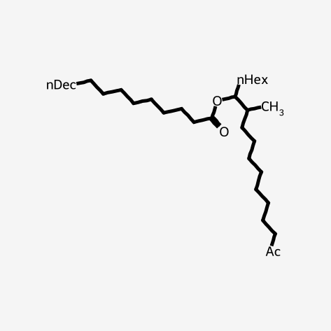 CCCCCCCCCCCCCCCCCCC(=O)OC(CCCCCC)C(C)CCCCCCCCC(C)=O